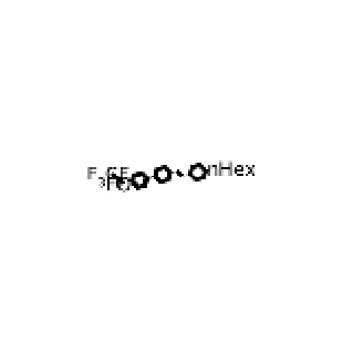 CCCCCC[C@H]1CC[C@H](CC[C@H]2CC[C@H](c3ccc(OC(F)(F)C(F)(F)F)cc3)CC2)CC1